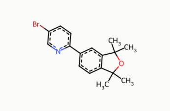 CC1(C)OC(C)(C)c2cc(-c3ccc(Br)cn3)ccc21